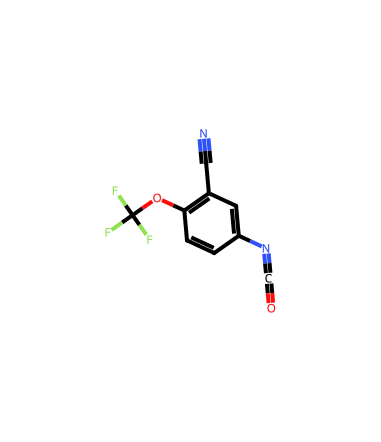 N#Cc1cc(N=C=O)ccc1OC(F)(F)F